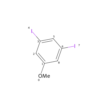 COc1cc(I)cc(I)c1